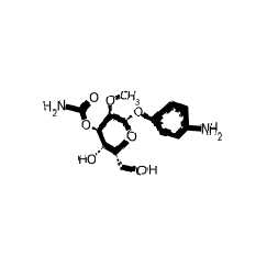 CO[C@H]1[C@H](Oc2ccc(N)cc2)O[C@H](CO)[C@H](O)[C@@H]1OC(N)=O